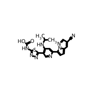 CC(C)Nc1cc(-c2ccc3cc(C#N)cnn23)ncc1-c1nnc(NC(=O)O)s1